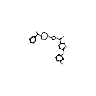 O=C(c1ccccc1)N1CCN(C2CN(C(=O)C3C=CC(Oc4cccc(Cl)c4)=NC3)C2)CC1